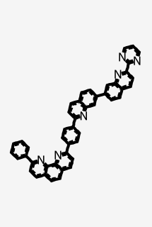 c1ccc(-c2ccc3ccc4ccc(-c5ccc(-c6ccc7ccc(-c8ccc9ccc(-c%10ncccn%10)nc9c8)cc7n6)cc5)nc4c3n2)cc1